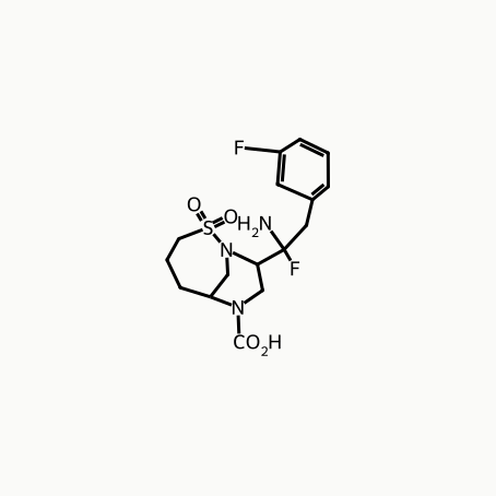 NC(F)(Cc1cccc(F)c1)C1CN(C(=O)O)C2CCCS(=O)(=O)N1C2